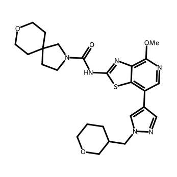 COc1ncc(-c2cnn(CC3CCCOC3)c2)c2sc(NC(=O)N3CCC4(CCOCC4)C3)nc12